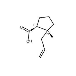 C=CC[C@@]1(C)CCC[C@@H]1S(=O)O